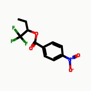 CCC(OC(=O)c1ccc([N+](=O)[O-])cc1)C(F)(F)F